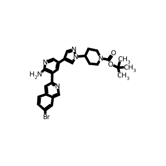 CC(C)(C)OC(=O)N1CCC(n2cc(-c3cnc(N)c(-c4cc5ccc(Br)cc5cn4)c3)cn2)CC1